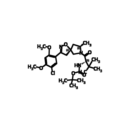 COc1cc(OC)c(C2=NO[C@]3(C2)C[C@@H](C)N(C(=O)[C@@H](NC(=O)OC(C)(C)C)C(C)(C)C)C3)cc1Cl